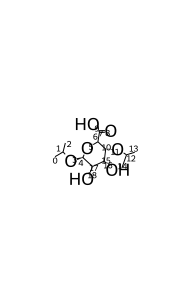 CC(C)O[C@H]1OC(C(=O)O)[C@H](OC(C)C)C(O)C1O